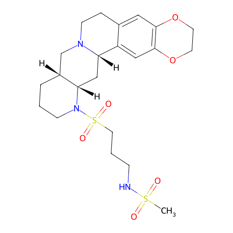 CS(=O)(=O)NCCCS(=O)(=O)N1CCC[C@@H]2CN3CCc4cc5c(cc4[C@@H]3C[C@@H]21)OCCO5